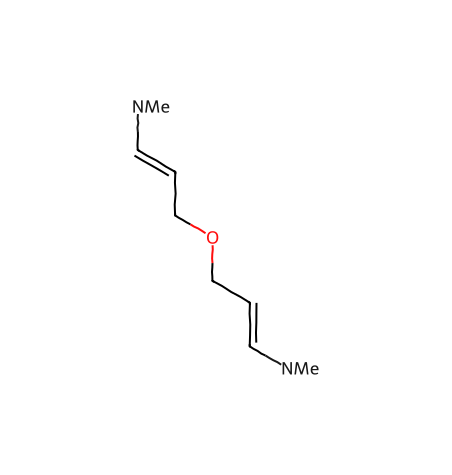 CNC=CCOCC=CNC